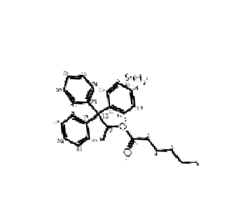 CCCCCC(=O)OC(C)C(c1ccccc1)(c1ccccc1)c1ccccc1.[SnH2]